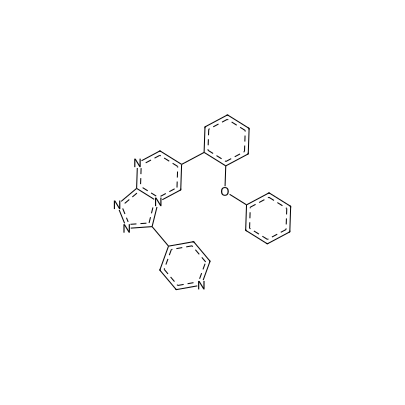 c1ccc(Oc2ccccc2-c2cnc3nnc(-c4ccncc4)n3c2)cc1